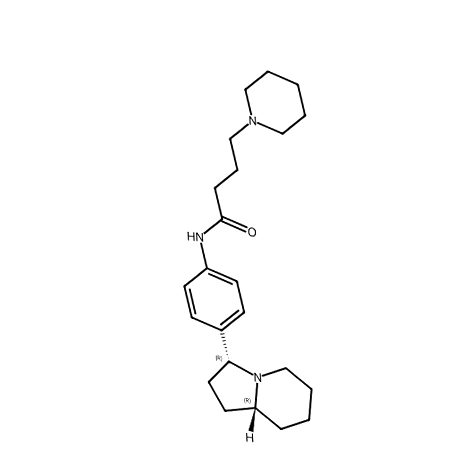 O=C(CCCN1CCCCC1)Nc1ccc([C@H]2CC[C@H]3CCCCN32)cc1